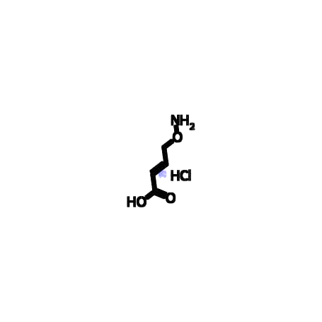 Cl.NOC/C=C/C(=O)O